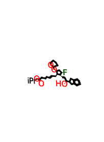 CC(C)OC(=O)CCC/C=C/C[C@@H]1[C@@H](/C=C/[C@@H](O)C2Cc3ccccc3C2)[C@@H](F)C[C@@H]1OC1CCCCO1